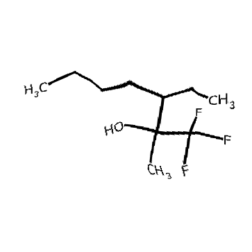 CCCCC(CC)C(C)(O)C(F)(F)F